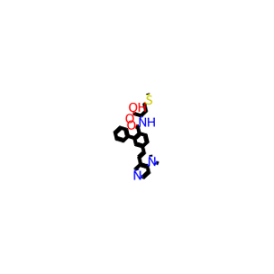 CSCCC(NC(=O)c1ccc(C=Cc2cnccc2N(C)C)cc1-c1ccccc1)C(=O)O